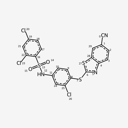 N#Cc1ccc2nc(Sc3ccc(NS(=O)(=O)c4ccc(Cl)cc4Cl)cc3Cl)sc2c1